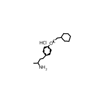 CC(N)CCc1ccc(OCCC2CCCCC2)cc1.Cl